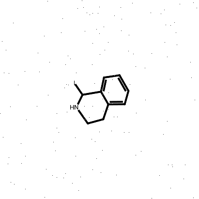 IC1NCCc2ccccc21